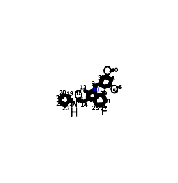 COc1[c]c(OC)cc(/C=C2/C(C)=C(CC(=O)Nc3ccccc3)c3cc(F)ccc32)c1